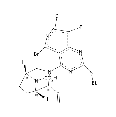 C=C[C@@H]1[C@@H]2CC[C@H](CN1c1nc(SCC)nc3c(F)c(Cl)nc(Br)c13)N2C(=O)O